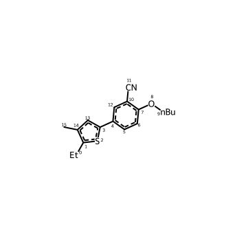 [CH2]Cc1sc(-c2ccc(OCCCC)c(C#N)c2)cc1C